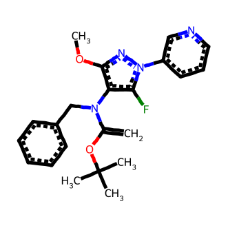 C=C(OC(C)(C)C)N(Cc1ccccc1)c1c(OC)nn(-c2cccnc2)c1F